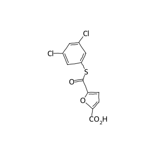 O=C(O)c1ccc(C(=O)Sc2cc(Cl)cc(Cl)c2)o1